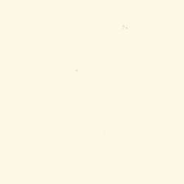 Nc1ccc2c(c1)Oc1c(c(=O)oc3ccccc13)C2c1c(O)c2ccccc2oc1=O